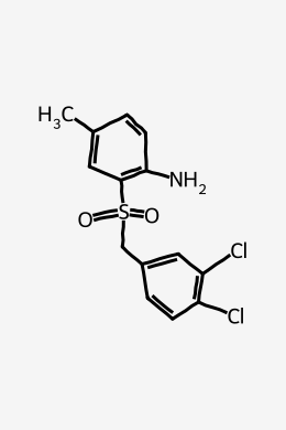 Cc1ccc(N)c(S(=O)(=O)Cc2ccc(Cl)c(Cl)c2)c1